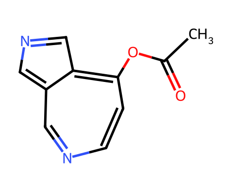 CC(=O)Oc1ccncc2cncc1-2